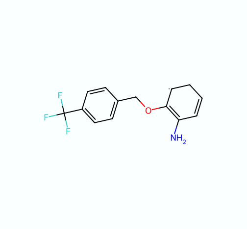 NC1=C(OCc2ccc(C(F)(F)F)cc2)[CH]CC=C1